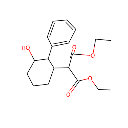 CCOC(=O)C(C(=O)OCC)C1CCCC(O)C1c1ccccc1